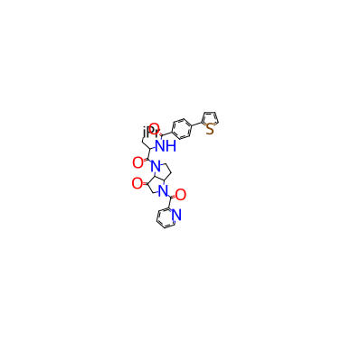 CC(C)CC(NC(=O)c1ccc(-c2cccs2)cc1)C(=O)N1CCC2C1C(=O)CN2C(=O)c1ccccn1